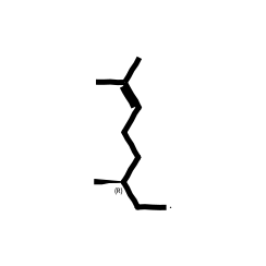 [CH2]C[C@@H](C)CCC=C(C)C